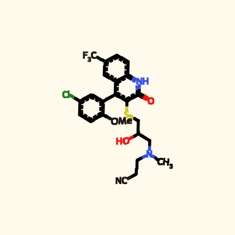 COc1ccc(Cl)cc1-c1c(SCC(O)CN(C)CCC#N)c(=O)[nH]c2ccc(C(F)(F)F)cc12